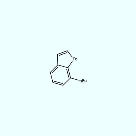 CCCCc1cccc2cc[te]c12